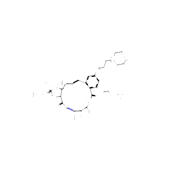 COCOc1cc(OCCN2CCOCC2)cc2c1C(=O)O[C@@H](C)[C@H](C)/C=C\C(=O)C1OC(C)(C)O[C@H]1C/C=C/2